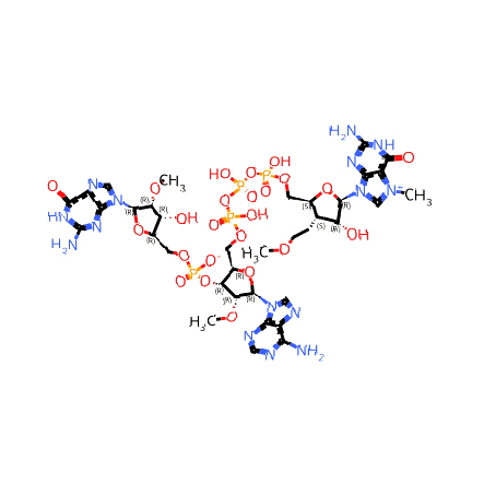 COCC[C@H]1[C@@H](O)[C@H](n2c[n+](C)c3c(=O)[nH]c(N)nc32)O[C@@H]1COP(=O)(O)OP(=O)(O)OP(=O)(O)OC[C@H]1O[C@@H](n2cnc3c(N)ncnc32)[C@H](OC)[C@@H]1OP(=O)([O-])OC[C@H]1O[C@@H](n2cnc3c(=O)[nH]c(N)nc32)[C@H](OC)[C@@H]1O